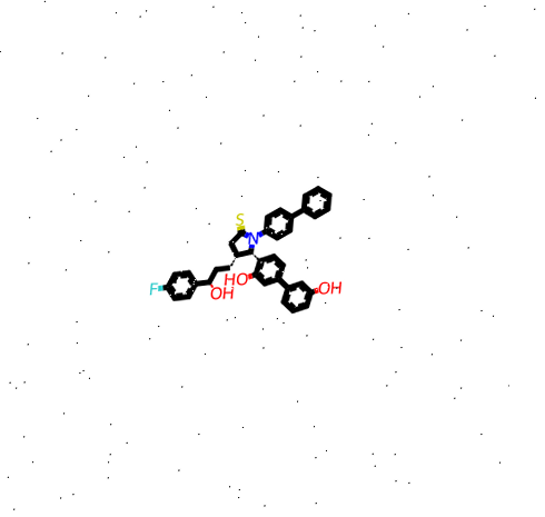 Oc1cccc(-c2ccc([C@@H]3[C@H](CC[C@H](O)c4ccc(F)cc4)CC(=S)N3c3ccc(-c4ccccc4)cc3)c(O)c2)c1